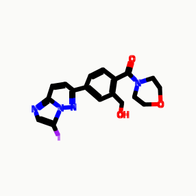 O=C(c1ccc(-c2ccc3ncc(I)n3n2)cc1CO)N1CCOCC1